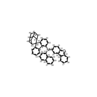 c1ccc2c(c1)-c1c(N(c3ccc4oc5ccccc5c4c3)c3cccc4ccccc34)cccc1C21C2CC3CC(C2)CC1C3